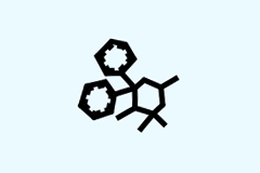 CC1CC(C)(C)C(C)C(c2ccccc2)(c2ccccc2)C1